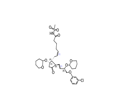 CS(=O)(=O)NC(=O)CCC/C=C\C[C@H]1[C@@H](OC2CCCCO2)CC(=O)[C@@H]1/C=C/[C@H](COc1cccc(Cl)c1)OC1CCCCO1